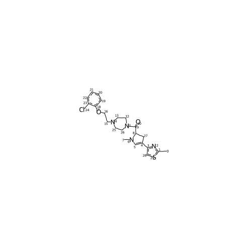 Cc1nc(C2=CN(C)C(C(=O)N3CCN(CCOc4ccccc4Cl)CC3)C2)cs1